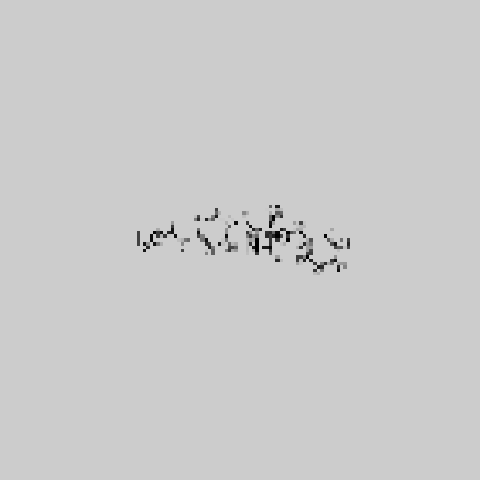 C=CCc1ccc(C[C@H](N)C(=O)OCc2ccccc2)cc1